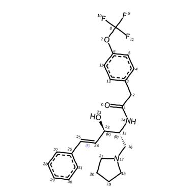 O=C(Cc1ccc(OC(F)(F)F)cc1)N[C@H](CN1CCCC1)[C@H](O)/C=C/c1ccccc1